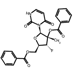 C[C@@]1(OC(=O)c2ccccc2)[C@H](F)[C@@H](COC(=O)c2ccccc2)O[C@H]1n1c(=O)cc[nH]c1=O